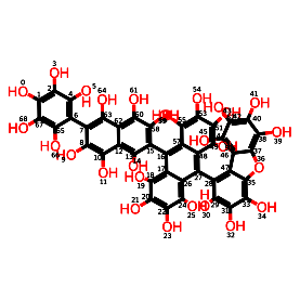 Oc1c(O)c(O)c(-c2c(O)c(O)c3c(O)c(-c4c5c(O)c(O)c(O)c(O)c5c(-c5c(O)c(O)c(O)c6oc7c(O)c(O)c(O)c(O)c7c56)c5c(O)c(O)c(O)c(O)c45)c(O)c(O)c3c2O)c(O)c1O